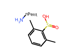 CCCCCN.Cc1cccc(C)c1S(=O)O